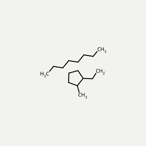 [CH2]CC1CCCC1C.[CH2]CCCCCCC